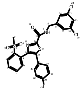 CS(=O)(=O)c1ccccc1-c1nc(C(=O)NCc2cc(Cl)cc(Cl)c2)sc1-c1ccc(F)cc1